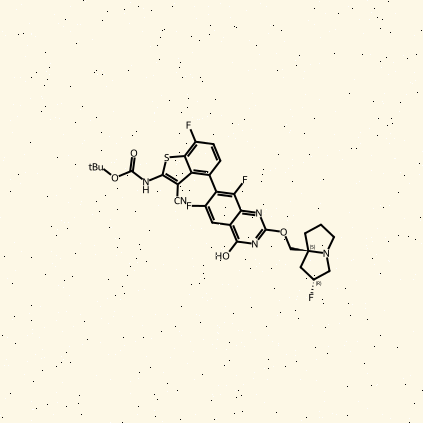 CC(C)(C)OC(=O)Nc1sc2c(F)ccc(-c3c(F)cc4c(O)nc(OC[C@@]56CCCN5C[C@H](F)C6)nc4c3F)c2c1C#N